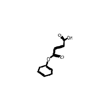 O=C(O)C=CC(=O)OC1=CCC=CC1